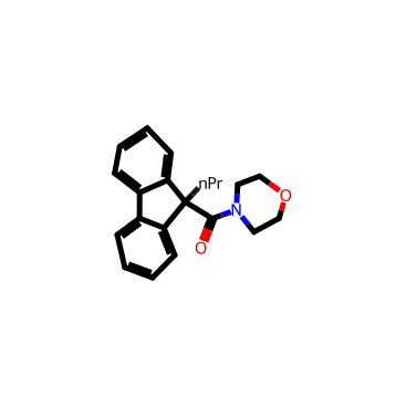 CCCC1(C(=O)N2CCOCC2)c2ccccc2-c2ccccc21